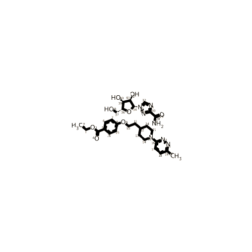 CCOC(=O)c1ccc(OCCC2CCN(c3ccc(C)nn3)CC2)cc1.NC(=O)c1ncn([C@@H]2O[C@H](CO)[C@@H](O)[C@H]2O)n1